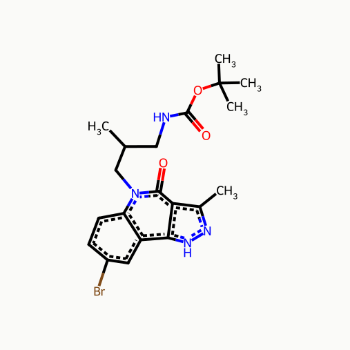 Cc1n[nH]c2c1c(=O)n(CC(C)CNC(=O)OC(C)(C)C)c1ccc(Br)cc21